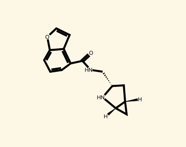 O=C(NC[C@@H]1C[C@@H]2C[C@@H]2N1)c1cccc2occc12